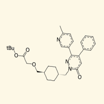 Cc1ccc(-c2nn(C[C@H]3CC[C@H](COCC(=O)OC(C)(C)C)CC3)c(=O)cc2-c2ccccc2)cn1